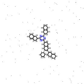 c1ccc(-c2cc3ccccc3cc2-c2ccc3cc(-c4nc(-c5ccc6ccccc6c5)nc(-c5ccc6ccccc6c5)n4)ccc3c2)cc1